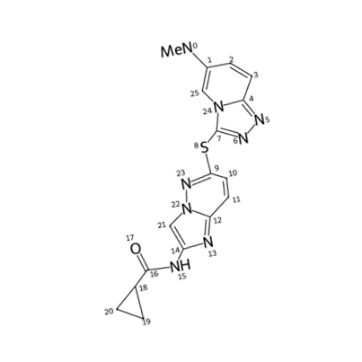 CNc1ccc2nnc(Sc3ccc4nc(NC(=O)C5CC5)cn4n3)n2c1